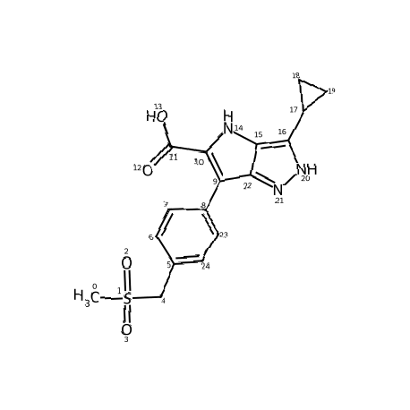 CS(=O)(=O)Cc1ccc(-c2c(C(=O)O)[nH]c3c(C4CC4)[nH]nc23)cc1